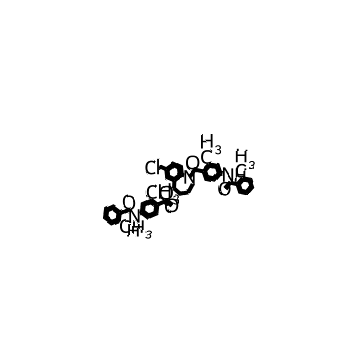 Cc1ccccc1C(=O)Nc1ccc(C(=O)OC2CCCN(C(=O)c3ccc(NC(=O)c4ccccc4C)cc3C)c3ccc(Cl)cc32)c(C)c1